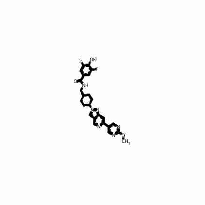 COc1ncc(-c2cc3nn(C4CCC(CNC(=O)c5cc(F)c(O)c(F)c5)CC4)cc3cn2)cn1